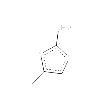 Cc1cnc(C=O)s1